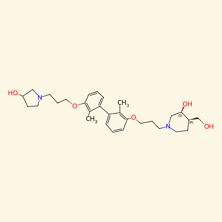 Cc1c(OCCCN2CCC(O)C2)cccc1-c1cccc(OCCCN2CC[C@H](CO)[C@H](O)C2)c1C